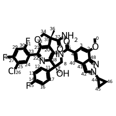 COc1cc(C(=O)NC[C@@](O)(c2ccc(F)cc2)c2cc3c(c(-c4cc(Cl)c(F)cc4F)n2)OC[C@]3(C)C(N)=O)cc2cn(C3CC3)nc12